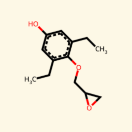 CCc1cc(O)cc(CC)c1OCC1CO1